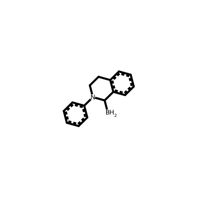 BC1c2ccccc2CCN1c1ccccc1